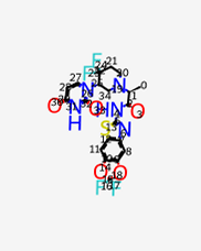 C[C@@H](C(=O)Nc1nc2cc3c(cc2s1)OC(F)(F)O3)N1CCC(F)(F)[C@H](n2ccc(=O)[nH]c2=O)C1